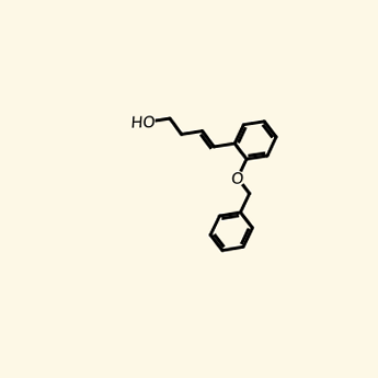 OCC/C=C/c1ccccc1OCc1ccccc1